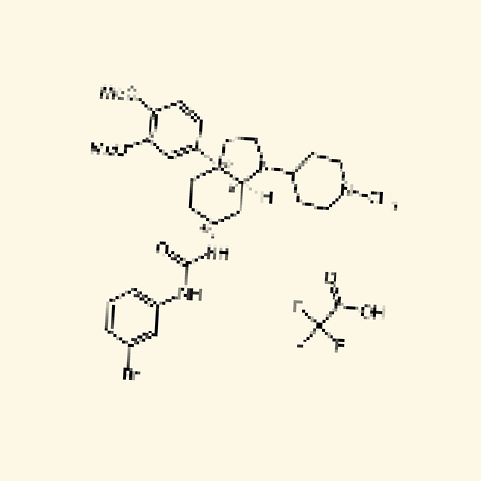 COc1ccc([C@@]23CC[C@@H](NC(=O)Nc4cccc(Br)c4)C[C@@H]2N(C2CCN(C)CC2)CC3)cc1OC.O=C(O)C(F)(F)F